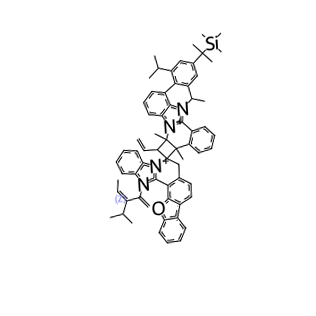 C=CC1C2(C)[n+]3c(n4c5c(cccc53)-c3c(C(C)C)cc(C(C)(C)[Si](C)(C)C)cc3C4C)-c3ccccc3C2(C)C12Cc1ccc3c(oc4ccccc43)c1-c1n(C(=C)/C(=C\C)C(C)C)c3ccccc3[n+]12